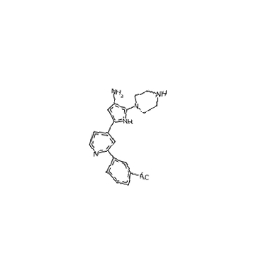 CC(=O)c1cccc(-c2cc(-c3cc(N)c(N4CCNCC4)[nH]3)ccn2)c1